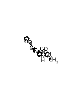 COc1cc(Nc2ccc(N3CC(OCCOC4CCCCO4)C3)cc2)c(NC(C)=O)cn1